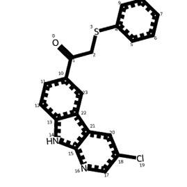 O=C(CSc1ccccc1)c1ccc2[nH]c3ncc(Cl)cc3c2c1